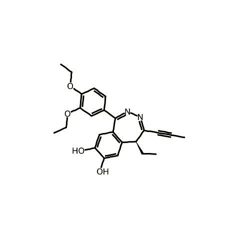 CC#CC1=NN=C(c2ccc(OCC)c(OCC)c2)c2cc(O)c(O)cc2[C@@H]1CC